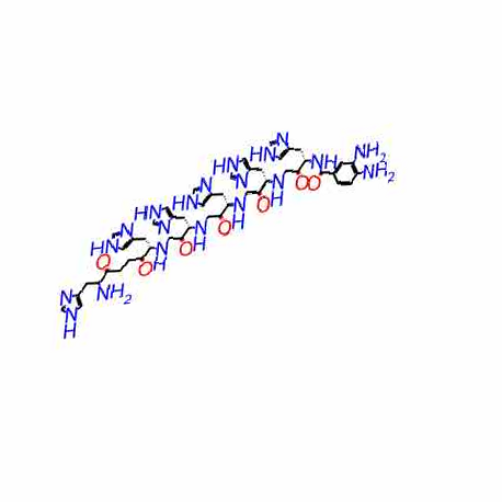 Nc1ccc(C(=O)N[C@@H](Cc2c[nH]cn2)C(=O)CN[C@@H](Cc2c[nH]cn2)C(=O)CN[C@@H](Cc2c[nH]cn2)C(=O)CN[C@@H](Cc2c[nH]cn2)C(=O)CN[C@@H](Cc2c[nH]cn2)C(=O)CCC(=O)[C@@H](N)Cc2c[nH]cn2)cc1N